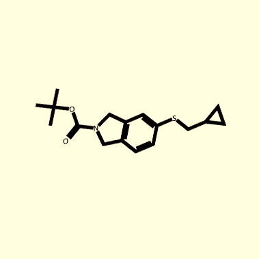 CC(C)(C)OC(=O)N1Cc2ccc(SCC3CC3)cc2C1